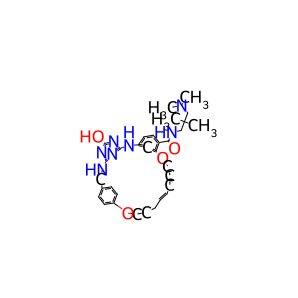 CN(C)CC(C)(C)CNC(=O)c1ccc2cc1OCCC/C=C/CCCOc1ccc(cc1)CNc1nc(O)nc(n1)N2